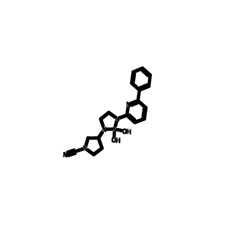 N#CN1CCC(N2CCN(c3cccc(-c4ccccc4)n3)S2(O)O)C1